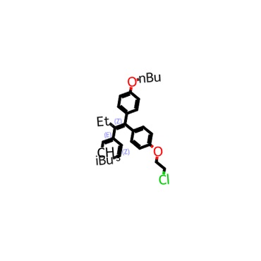 C/C=C(\C=C/C(C)CC)C(/CC)=C(\c1ccc(OCCCl)cc1)c1ccc(OCCCC)cc1